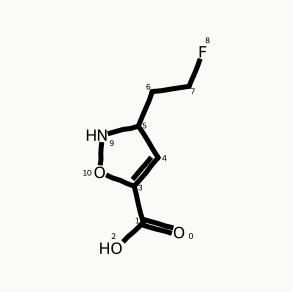 O=C(O)C1=CC(CCF)NO1